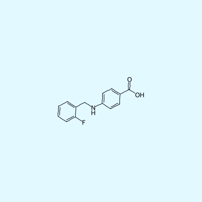 O=C(O)c1ccc(NCc2ccccc2F)cc1